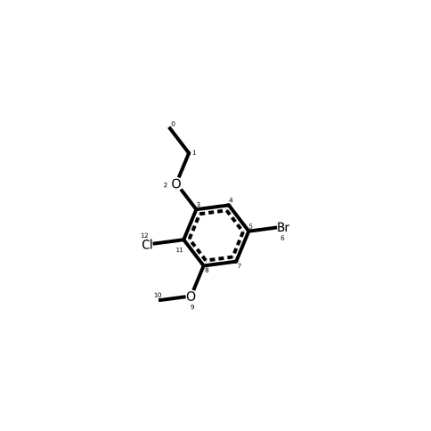 CCOc1cc(Br)cc(OC)c1Cl